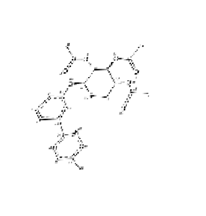 CC(=O)O[C@@H]1[C@@H](OC(C)=O)[C@H](OC(C)=O)CS[C@H]1Oc1cccc(-c2ccc(C)cn2)c1